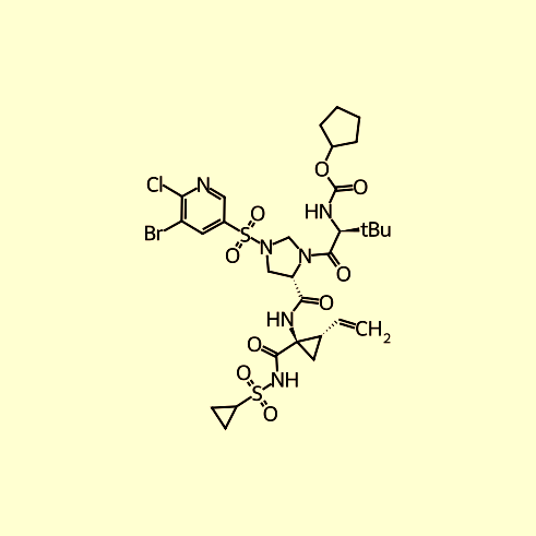 C=C[C@@H]1C[C@]1(NC(=O)[C@@H]1CN(S(=O)(=O)c2cnc(Cl)c(Br)c2)CN1C(=O)[C@@H](NC(=O)OC1CCCC1)C(C)(C)C)C(=O)NS(=O)(=O)C1CC1